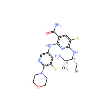 CC(C)C[C@@H](Nc1nc(Nc2cnc(N3CCOCC3)c(F)c2)c(C(N)=O)cc1F)[C@H](C)N